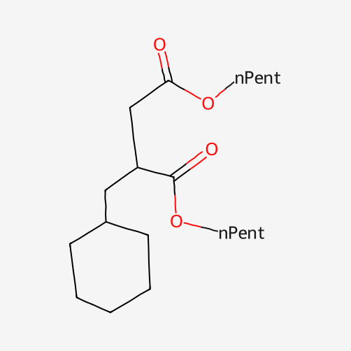 CCCCCOC(=O)CC(CC1CCCCC1)C(=O)OCCCCC